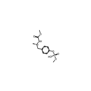 COC(=O)N[C@H](C)Cc1ccc(OP(=O)(O)OC)cc1